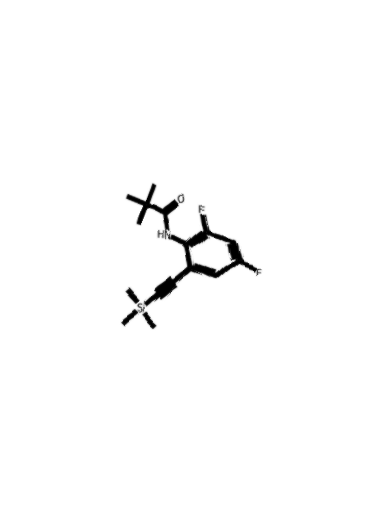 CC(C)(C)C(=O)Nc1c(F)cc(F)cc1C#C[Si](C)(C)C